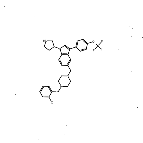 FC(F)(F)Oc1ccc(-c2cn(C3CCNC3)c3ccc(CN4CCN(Cc5ccccc5Cl)CC4)cc23)cc1